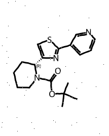 CC(C)(C)OC(=O)N1CCCC[C@@H]1c1csc(-c2cccnc2)n1